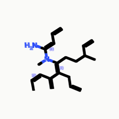 C=C/C=C(\N)N(C)/C(CCC(C)C=C)=C(/CC=C)C(=C)/C=C\C